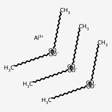 CCCCCCCCCCCCCCCCCCOP(=O)([O-])OCCCCCCCCCCCCCCCCCC.CCCCCCCCCCCCCCCCCCOP(=O)([O-])OCCCCCCCCCCCCCCCCCC.CCCCCCCCCCCCCCCCCCOP(=O)([O-])OCCCCCCCCCCCCCCCCCC.[Al+3]